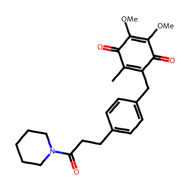 COC1=C(OC)C(=O)C(Cc2ccc(CCC(=O)N3CCCCC3)cc2)=C(C)C1=O